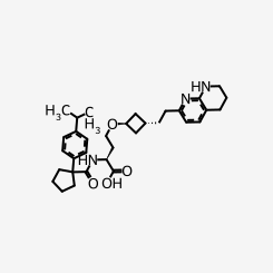 CC(C)c1ccc(C2(C(=O)N[C@@H](CCO[C@H]3C[C@H](CCc4ccc5c(n4)NCCC5)C3)C(=O)O)CCCC2)cc1